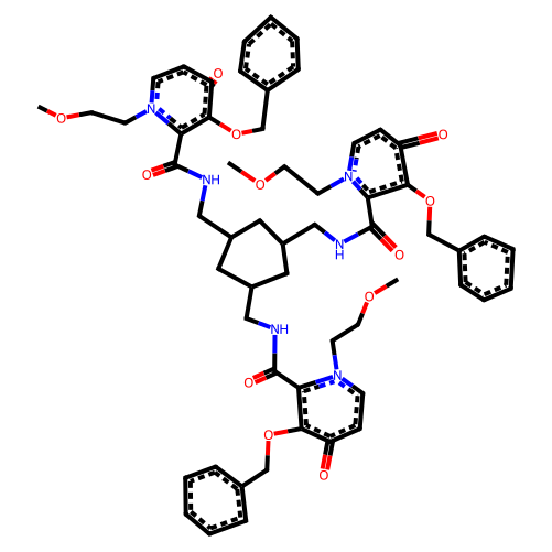 COCCn1ccc(=O)c(OCc2ccccc2)c1C(=O)NCC1CC(CNC(=O)c2c(OCc3ccccc3)c(=O)ccn2CCOC)CC(CNC(=O)c2c(OCc3ccccc3)c(=O)ccn2CCOC)C1